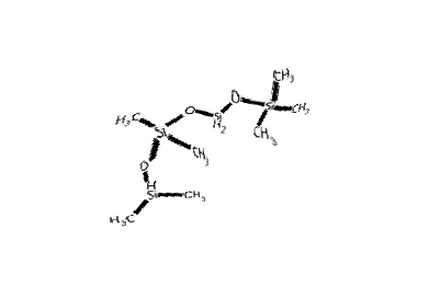 C[SiH](C)O[Si](C)(C)O[SiH2]O[Si](C)(C)C